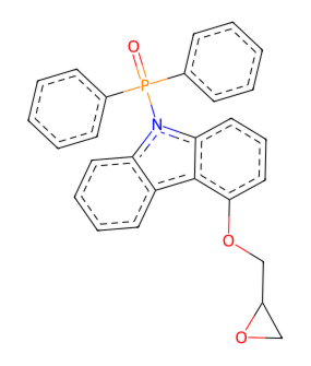 O=P(c1ccccc1)(c1ccccc1)n1c2ccccc2c2c(OCC3CO3)cccc21